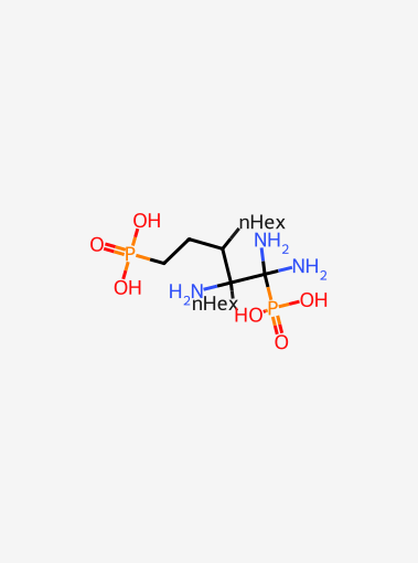 CCCCCCC(CCP(=O)(O)O)C(N)(CCCCCC)C(N)(N)P(=O)(O)O